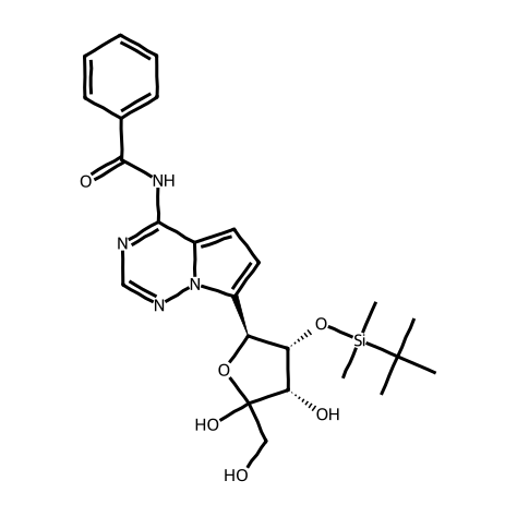 CC(C)(C)[Si](C)(C)O[C@H]1[C@H](c2ccc3c(NC(=O)c4ccccc4)ncnn23)OC(O)(CO)[C@H]1O